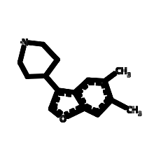 Cc1cc2occ(C3CC[N]CC3)c2cc1C